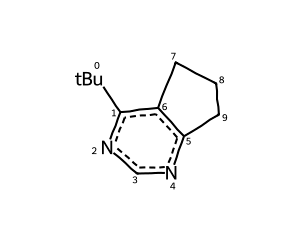 CC(C)(C)c1ncnc2c1CCC2